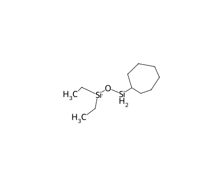 CC[Si](CC)O[SiH2]C1CCCCCC1